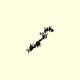 CC(C)(C)OC(=O)n1cnc(CC(=O)Nc2nnc(CCCCc3ccc(NC(O)Cc4cccc(OC(F)(F)F)c4)nn3)s2)c1